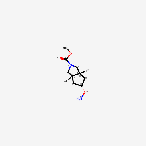 CC(C)(C)OC(=O)N1C[C@H]2C[C@@H](ON)C[C@H]2C1